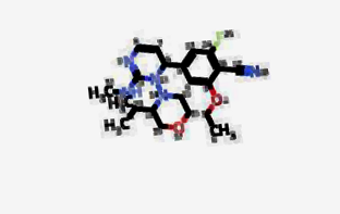 CCOc1cc(C2C=CN=C(NC)N2N2CCOCC2C(C)C)cc(F)c1C#N